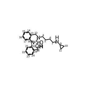 OS1(O)N(CCCCNC2CC2)Cc2ccccc2N1c1ccccc1F